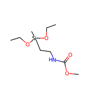 CCO[Si](C)(CCNC(=O)OC)OCC